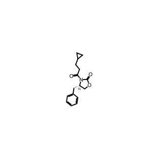 O=C(CCC1CC1)N1C(=O)OC[C@@H]1Cc1ccccc1